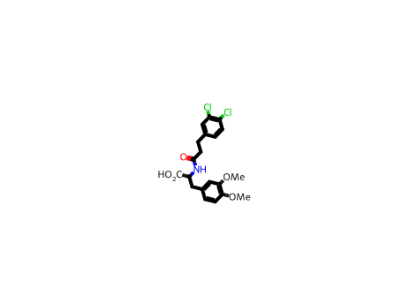 COc1ccc(CC(NC(=O)CCc2ccc(Cl)c(Cl)c2)C(=O)O)cc1OC